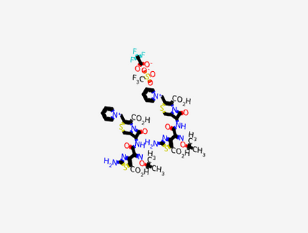 CC(C)(ON=C(C(=O)NC1C(=O)N2C(C(=O)O)=C(C[n+]3ccccc3)SCC12)c1csc(N)n1)C(=O)O.CC(C)(ON=C(C(=O)NC1C(=O)N2C(C(=O)O)=C(C[n+]3ccccc3)SCC12)c1csc(N)n1)C(=O)O.O=C([O-])C(F)(F)F.O=S(=O)([O-])C(F)(F)F